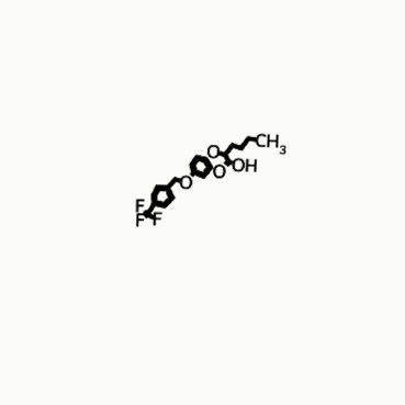 CCCCC(Oc1ccc(OCc2ccc(C(F)(F)F)cc2)cc1)C(=O)O